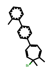 CC1=CC=C(c2ccc(-c3ccccc3C)cc2)C=CC1(C)Br